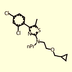 CCCN(CCOCC1CC1)c1nc(-c2ccc(Cl)cc2Cl)c(C)s1